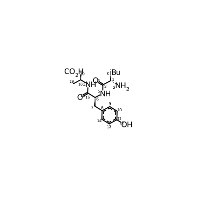 CC[C@H](C)[C@H](N)C(=O)N[C@@H](Cc1ccc(O)cc1)C(=O)N[C@@H](C)C(=O)O